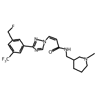 CN1CCCC(CNC(=O)/C=C\n2cnc(-c3cc(CF)cc(C(F)(F)F)c3)n2)C1